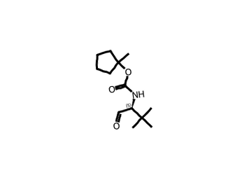 CC1(OC(=O)N[C@H](C=O)C(C)(C)C)CCCC1